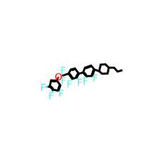 CCCC1CCC(c2ccc(-c3ccc(C(F)(F)Oc4cc(F)c(F)c(F)c4)c(F)c3F)c(F)c2F)CC1